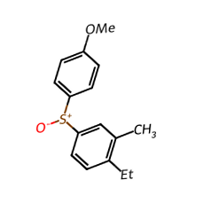 CCc1ccc([S+]([O-])c2ccc(OC)cc2)cc1C